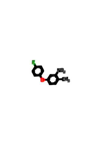 Cc1ccc(Oc2ccc(F)cc2)cc1[N+](=O)[O-]